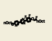 CCCCCCCCOc1ccc(-c2cnc(-c3ccc(OC[C@H](F)CCCCCCCC)c(F)c3F)nc2)cn1